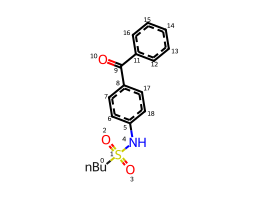 CCCCS(=O)(=O)Nc1ccc(C(=O)c2ccccc2)cc1